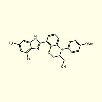 COc1ccc(N2c3cccc(-c4nc5c(Cl)cc(C(F)(F)F)cc5[nH]4)c3OCC2CO)nc1